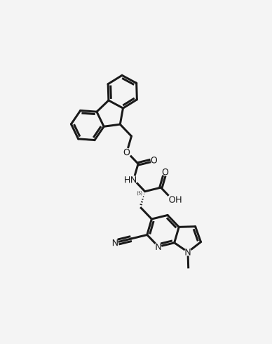 Cn1ccc2cc(C[C@H](NC(=O)OCC3c4ccccc4-c4ccccc43)C(=O)O)c(C#N)nc21